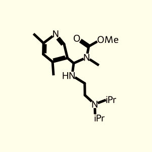 COC(=O)N(C)C(NCCN(C(C)C)C(C)C)c1cnc(C)cc1C